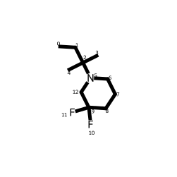 CCC(C)(C)N1CCCC(F)(F)C1